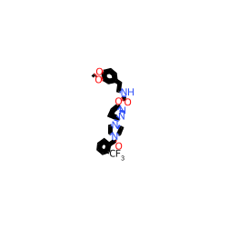 O=C(NCCc1ccc2c(c1)OCO2)Oc1ccc(N2CCN(C(=O)c3ccccc3C(F)(F)F)CC2)nn1